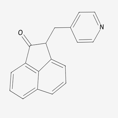 O=C1c2cccc3cccc(c23)C1Cc1ccncc1